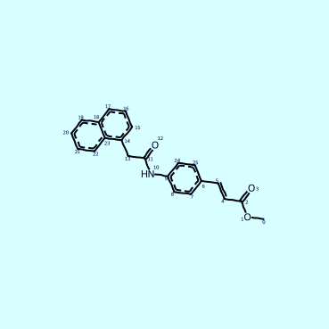 COC(=O)/C=C/c1ccc(NC(=O)Cc2cccc3ccccc23)cc1